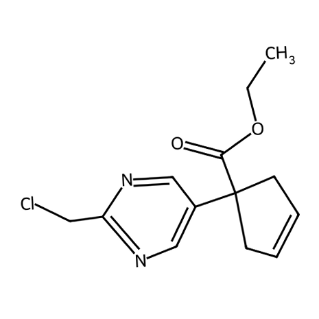 CCOC(=O)C1(c2cnc(CCl)nc2)CC=CC1